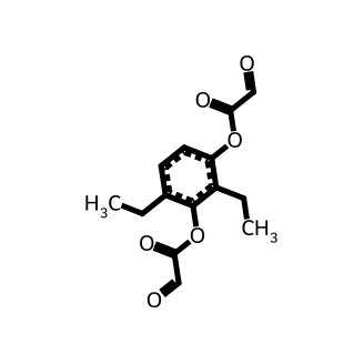 CCc1ccc(OC(=O)C=O)c(CC)c1OC(=O)C=O